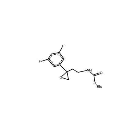 CC(C)(C)OC(=O)NCCC1(c2cc(F)cc(F)c2)CO1